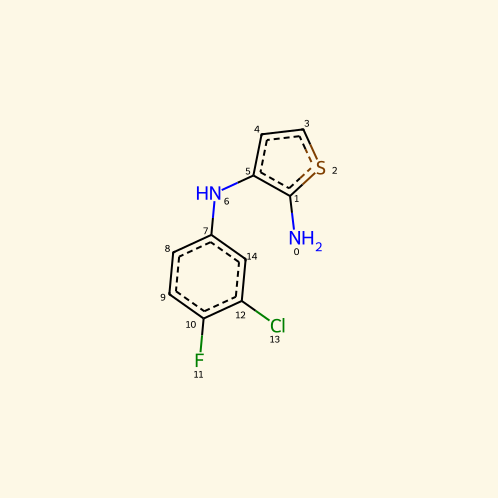 Nc1sccc1Nc1ccc(F)c(Cl)c1